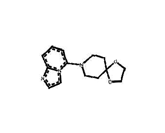 c1cc(N2CCC3(CC2)OCCO3)n2ccnc2c1